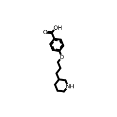 O=C(O)c1ccc(OCCCC2CCCNC2)cc1